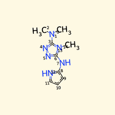 CN(C)c1nnc(Nc2ccc[nH]2)n1C